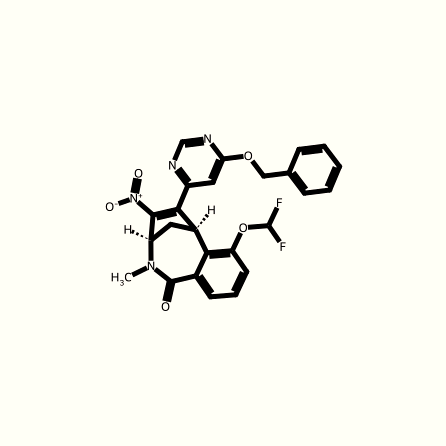 CN1C(=O)c2cccc(OC(F)F)c2[C@H]2C[C@@H]1C([N+](=O)[O-])=C2c1cc(OCc2ccccc2)ncn1